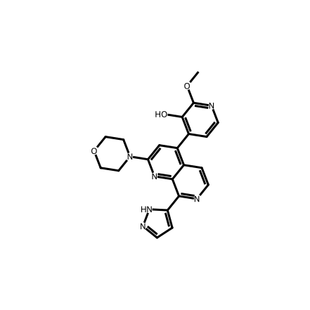 COc1nccc(-c2cc(N3CCOCC3)nc3c(-c4ccn[nH]4)nccc23)c1O